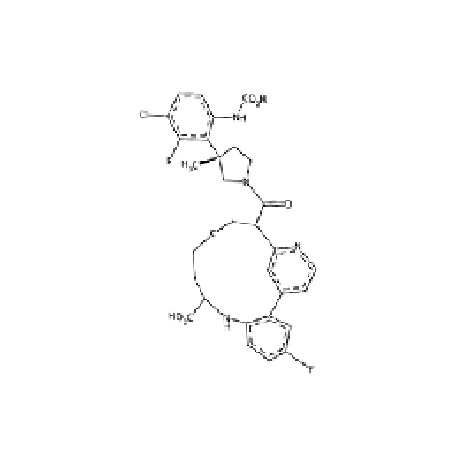 C[C@@]1(c2c(NC(=O)O)ccc(Cl)c2F)CCN(C(=O)C2CCCCC(C(=O)O)Nc3ccc(F)cc3-c3ccnc2c3)C1